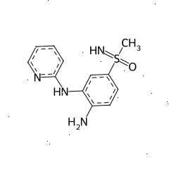 CS(=N)(=O)c1ccc(N)c(Nc2ccccn2)c1